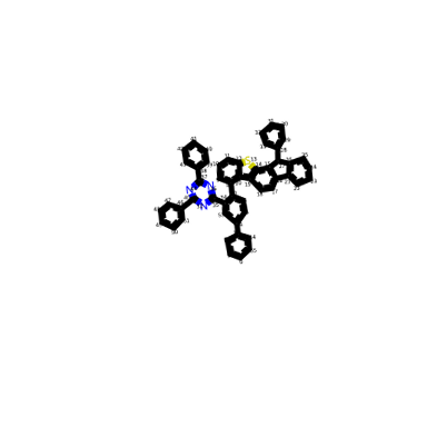 c1ccc(-c2ccc(-c3cccc4sc5c6c(ccc5c34)-c3ccccc3C6c3ccccc3)c(-c3nc(-c4ccccc4)nc(-c4ccccc4)n3)c2)cc1